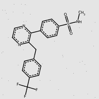 CNS(=O)(=O)c1ccc(-c2nccnc2Cc2ccc(C(F)(F)F)cc2)cc1